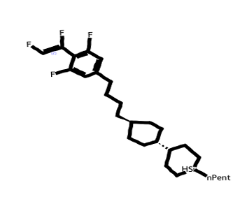 CCCCC[SiH]1CCC([C@H]2CC[C@H](CCCCc3cc(F)c(/C(F)=C/F)c(F)c3)CC2)CC1